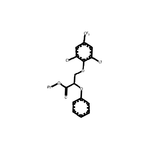 CC(C)OC(=O)C(COc1c(Cl)cc(C(F)(F)F)cc1Cl)Oc1ccccc1